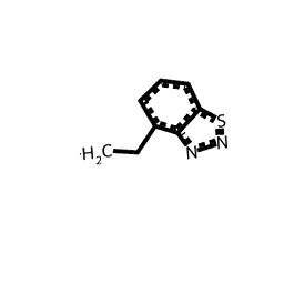 [CH2]Cc1cccc2snnc12